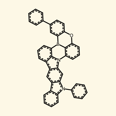 c1ccc(-c2ccc3c(c2)B2c4c(cccc4-n4c5cc6c(cc5c5cccc2c54)c2ccccc2n6-c2ccccc2)O3)cc1